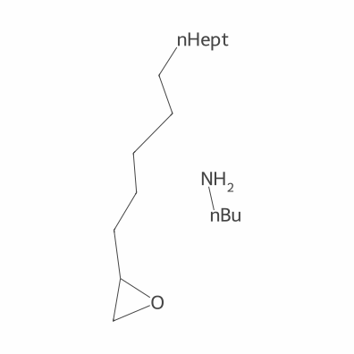 CCCCCCCCCCCCC1CO1.CCCCN